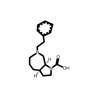 O=C(O)N1CC[C@H]2CCCN(CCc3ccccc3)C[C@H]21